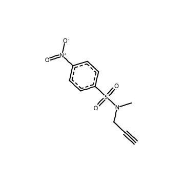 C#CCN(C)S(=O)(=O)c1ccc([N+](=O)[O-])cc1